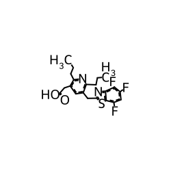 CCCc1nc(CCC)c(Cc2nc3c(F)c(F)cc(F)c3s2)cc1CC(=O)O